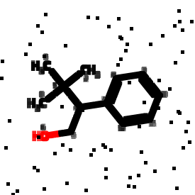 CC(C)(C)C(CO)c1ccccc1